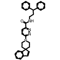 O=C(NCCC(c1ccccc1)c1ccccc1)c1ccc(N2CCC3(C=Cc4ccccc43)CC2)nn1